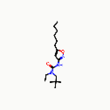 CCCCCCc1cc(NC(=O)N(CC)CC(C)(C)C)no1